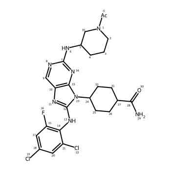 CC(=O)N1CCCC(Nc2ncc3nc(Nc4c(F)cc(Cl)cc4Cl)n(C4CCC(C(N)=O)CC4)c3n2)C1